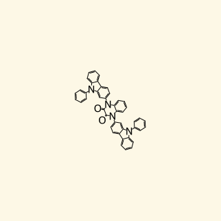 O=c1c(=O)n(-c2ccc3c4ccccc4n(-c4ccccc4)c3c2)c2ccccc2n1-c1ccc2c3ccccc3n(-c3ccccc3)c2c1